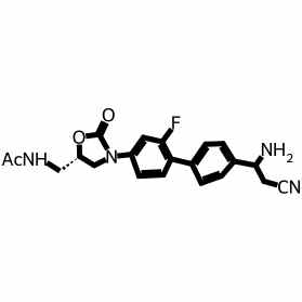 CC(=O)NC[C@H]1CN(c2ccc(-c3ccc(C(N)CC#N)cc3)c(F)c2)C(=O)O1